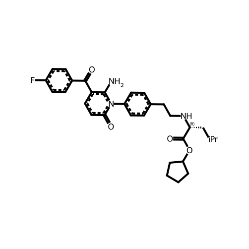 CC(C)C[C@@H](NCCc1ccc(-n2c(N)c(C(=O)c3ccc(F)cc3)ccc2=O)cc1)C(=O)OC1CCCC1